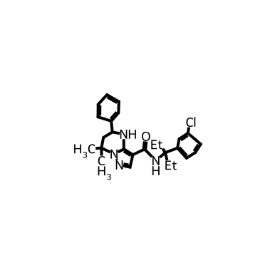 CCC(CC)(NC(=O)c1cnn2c1NC(c1ccccc1)CC2(C)C)c1cccc(Cl)c1